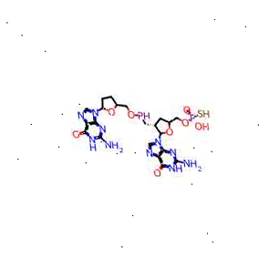 Nc1nc2c(ncn2C2CCC(COPC[C@@H]3CC(COP(=O)(O)S)OC3n3cnc4c(=O)[nH]c(N)nc43)O2)c(=O)[nH]1